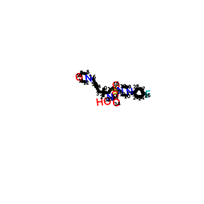 CC(C)(CC#CCN1CCOCC1)C(CS(=O)(=O)N1CCN(c2ccc(F)cc2)CC1)N(O)C=O